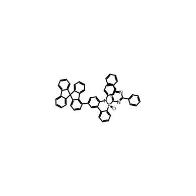 O=P1(c2nc(-c3ccccc3)nc(-c3ccccc3)n2)c2ccccc2-c2cc(-c3cccc4c3-c3ccccc3C43c4ccccc4-c4ccccc43)ccc2N1c1ccccc1